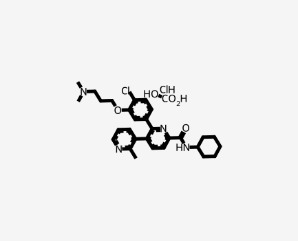 Cc1ncccc1-c1ccc(C(=O)NC2CCCCC2)nc1-c1ccc(Cl)c(OCCCN(C)C)c1.Cl.O=C(O)O